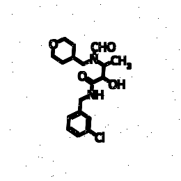 CC(C(O)C(=O)NCc1cccc(Cl)c1)N(C=O)CC1CCOCC1